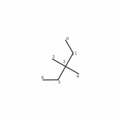 C[CH]C(C)(C)CC